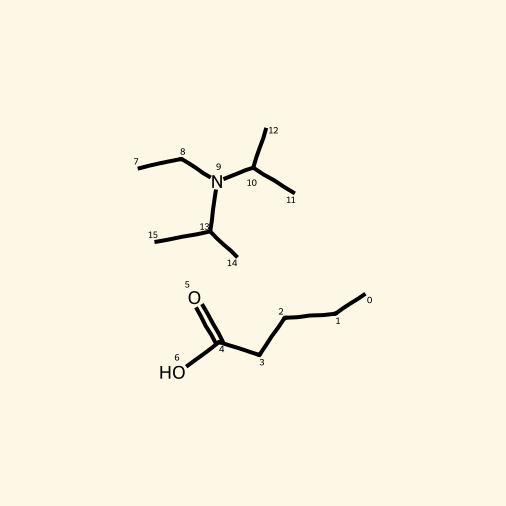 CCCCC(=O)O.CCN(C(C)C)C(C)C